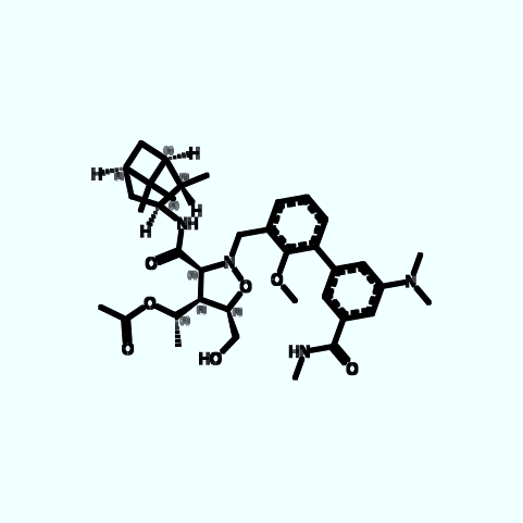 CNC(=O)c1cc(-c2cccc(CN3O[C@@H](CO)[C@@H]([C@H](C)OC(C)=O)[C@H]3C(=O)N[C@H]3C[C@H]4C[C@@H]([C@@H]3C)C4(C)C)c2OC)cc(N(C)C)c1